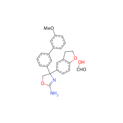 COc1cccc(-c2cccc(C3(c4ccc5c(c4)CCO5)COC(N)=N3)c2)c1.O=CO